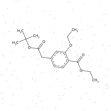 CCOC(=O)c1ccc(CC(=O)OC(C)(C)C)cc1OCC